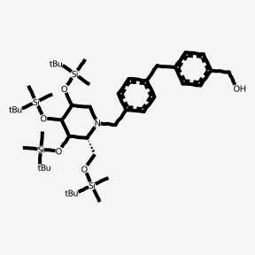 CC(C)(C)[Si](C)(C)OC[C@@H]1C(O[Si](C)(C)C(C)(C)C)C(O[Si](C)(C)C(C)(C)C)C(O[Si](C)(C)C(C)(C)C)CN1Cc1ccc(Cc2ccc(CO)cc2)cc1